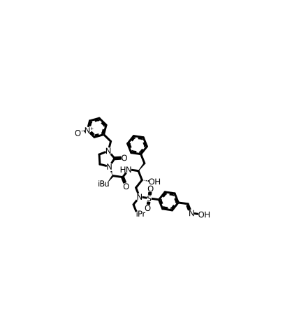 CC[C@H](C)[C@@H](C(=O)N[C@@H](Cc1ccccc1)[C@H](O)CN(CC(C)C)S(=O)(=O)c1ccc(/C=N/O)cc1)N1CCN(Cc2ccc[n+]([O-])c2)C1=O